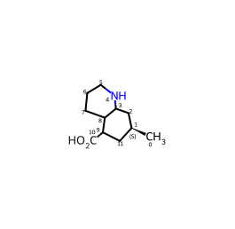 C[C@@H]1CC2NCCCC2C(C(=O)O)C1